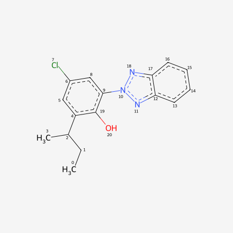 CCC(C)c1cc(Cl)cc(-n2nc3ccccc3n2)c1O